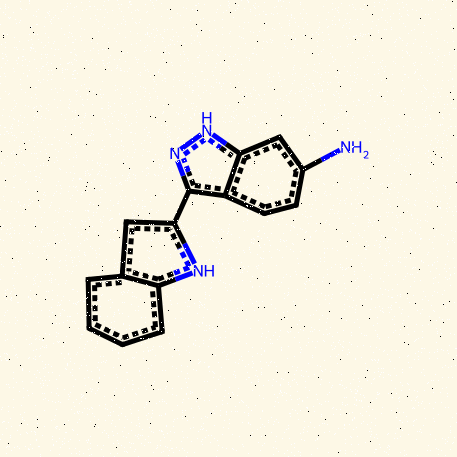 Nc1ccc2c(-c3cc4ccccc4[nH]3)n[nH]c2c1